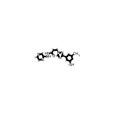 Cc1cc(S)cc(-c2ncn(/C=C\C(=O)NNc3cnccn3)n2)c1